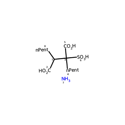 CCCCCC(C(=O)O)C(CCCCC)(C(=O)O)S(=O)(=O)O.N